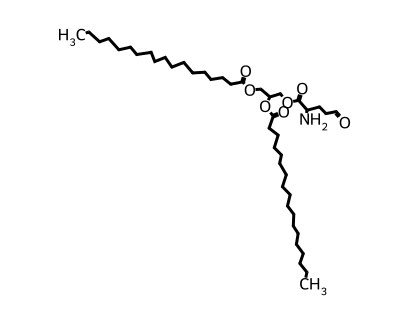 CCCCCCCCCCCCCCCCCC(=O)OCC(COC(=O)C(N)CCC=O)OC(=O)CCCCCCCCCCCCCCCCC